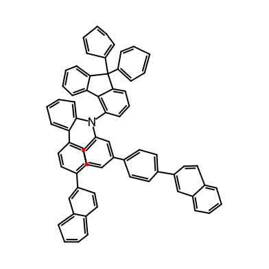 c1ccc(C2(c3ccccc3)c3ccccc3-c3c(N(c4cccc(-c5ccc(-c6ccc7ccccc7c6)cc5)c4)c4ccccc4-c4ccc(-c5ccc6ccccc6c5)cc4)cccc32)cc1